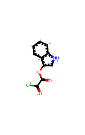 O=C(Cl)C(=O)Oc1c[nH]c2ccccc12